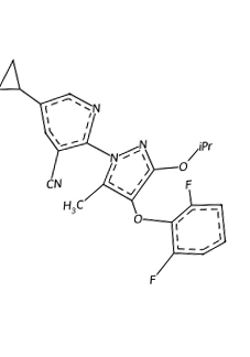 Cc1c(Oc2c(F)cccc2F)c(OC(C)C)nn1-c1ncc(C2CC2)cc1C#N